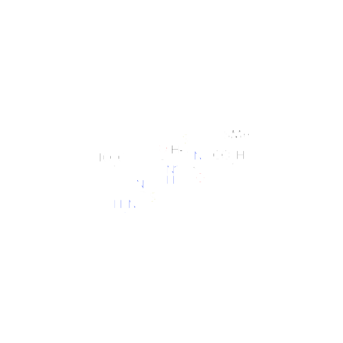 CSCC1=C(C(=O)O)N2C(=O)[C@@H](NC(=O)C(=CCC(=O)O)c3csc(N)n3)[C@@H]2SC1